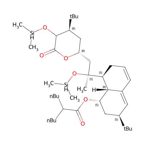 CCCCC(CCCC)C(=O)O[C@H]1C[C@H](C(C)(C)C)C=C2C=CC[C@H]([C@](C)(C[C@H]3C[C@H](C(C)(C)C)C(O[SiH](C)C)C(=O)O3)O[SiH](C)C)[C@H]21